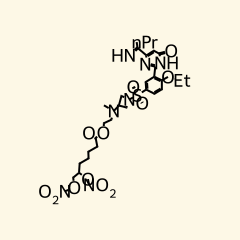 CCCC(=N)c1cc(=O)[nH]c(-c2cc(S(=O)(=O)N3CC(N(C)CCOC(=O)CCCCC(CO[N+](=O)[O-])O[N+](=O)[O-])C3)ccc2OCC)n1